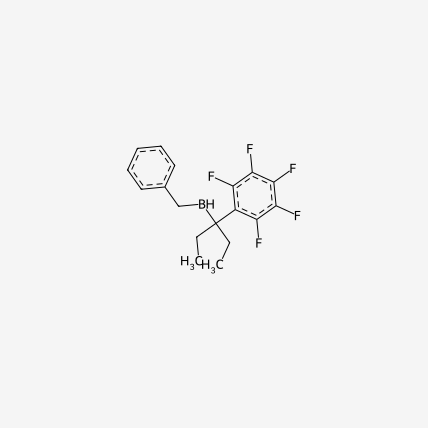 CCC(BCc1ccccc1)(CC)c1c(F)c(F)c(F)c(F)c1F